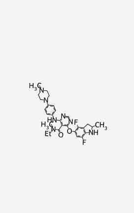 CCN(C)C(=O)c1c(Nc2ccc(N3CCN(C)CC3)cc2)ncnc1Oc1cc(F)c2c(c1F)CC(C)N2